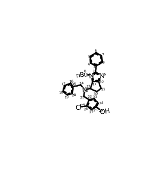 CCCCn1c(-c2ccccc2)nc2c1C(N(Cc1ccccc1)Cc1ccc(O)cc1Cl)CC2